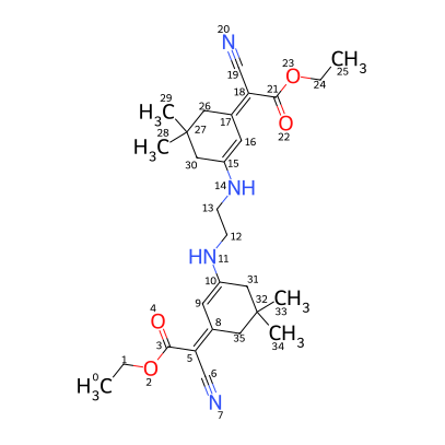 CCOC(=O)/C(C#N)=C1\C=C(NCCNC2=C/C(=C(/C#N)C(=O)OCC)CC(C)(C)C2)CC(C)(C)C1